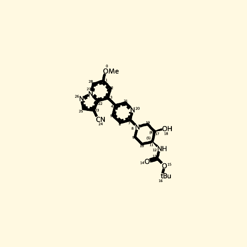 COc1cc(-c2ccc(N3CC[C@H](NC(=O)OC(C)(C)C)[C@H](O)C3)nc2)c2c(C#N)cnn2c1